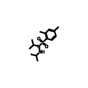 Cc1ccc(S(=O)(=O)N(NC(C)C)C(C)C)c(C)c1